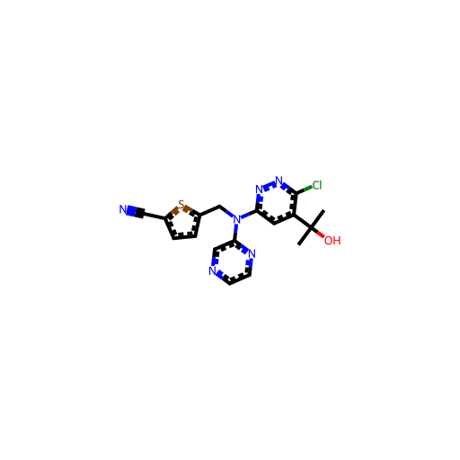 CC(C)(O)c1cc(N(Cc2ccc(C#N)s2)c2cnccn2)nnc1Cl